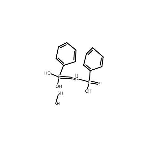 OP(O)(=S)c1ccccc1.OP(O)(=S)c1ccccc1.SS